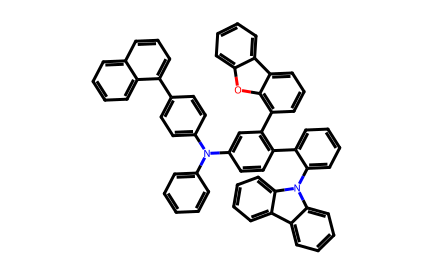 c1ccc(N(c2ccc(-c3cccc4ccccc34)cc2)c2ccc(-c3ccccc3-n3c4ccccc4c4ccccc43)c(-c3cccc4c3oc3ccccc34)c2)cc1